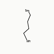 CCCCCC[CH2][Sm]